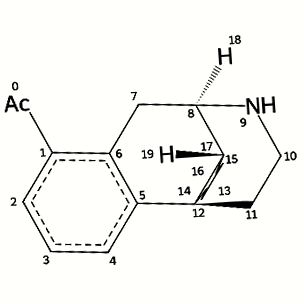 CC(=O)c1cccc2c1C[C@H]1NCC[C@@]23CCCC[C@@H]13